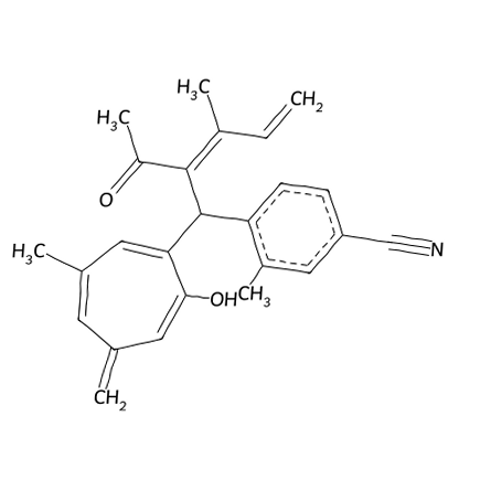 C=C/C(C)=C(/C(C)=O)C(C1=CC(C)=CC(=C)C=C1O)c1ccc(C#N)cc1C